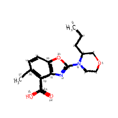 CCCC1COCCN1c1nc2c(C(=O)O)c(C)ccc2o1